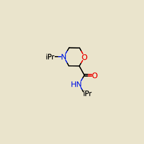 CC(C)NC(=O)C1CN(C(C)C)CCO1